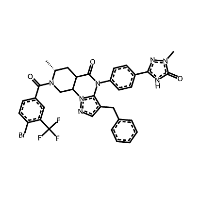 C[C@@H]1CC2C(=O)N(c3ccc(-c4nn(C)c(=O)[nH]4)cc3)c3c(Cc4ccccc4)cnn3C2CN1C(=O)c1ccc(Br)c(C(F)(F)F)c1